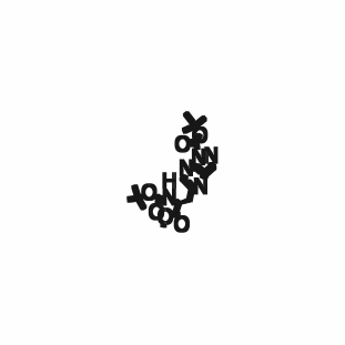 COC(=O)[C@H](Cc1cnc2c(cnn2C(=O)OC(C)(C)C)n1)NC(=O)OC(C)(C)C